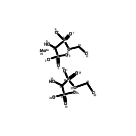 O=P([O-])([O-])C(O)P(=O)([O-])OCCl.O=P([O-])([O-])C(O)P(=O)([O-])OCCl.[Mo+6]